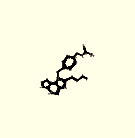 CCCCc1nc2cnc3sccc3c2n1Cc1ccc(COC(N)=O)cc1